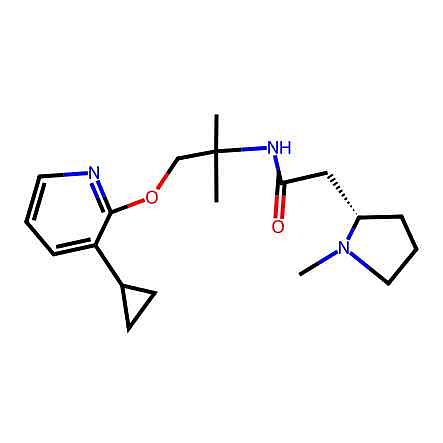 CN1CCC[C@H]1CC(=O)NC(C)(C)COc1ncccc1C1CC1